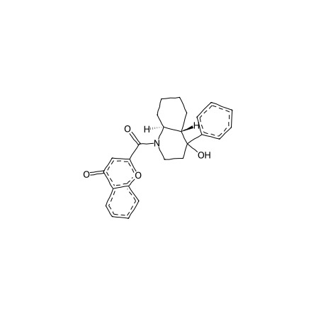 O=C(c1cc(=O)c2ccccc2o1)N1CCC(O)(c2ccccc2)[C@H]2CCCC[C@@H]21